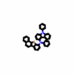 c1ccc(N(c2cccc3c2sc2c4ccccc4ccc32)c2cccc3c2c2ccccc2n3-c2ccccc2)cc1